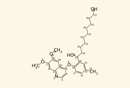 COc1cc2nccc(Oc3ccc(C)cc3C(O)CCCCCCCCCO)c2cc1OC